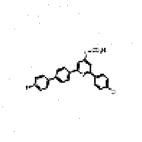 O=C(O)Oc1cc(-c2ccc(Cl)cc2)nc(-c2ccc(-c3ccc(F)cc3)cc2)c1